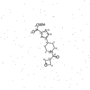 COC(=O)c1cc(C2CCN(C(=O)C3COC3)CC2)cs1